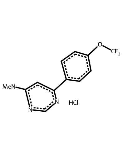 CNc1cc(-c2ccc(OC(F)(F)F)cc2)ncn1.Cl